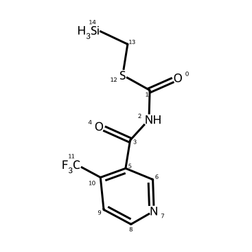 O=C(NC(=O)c1cnccc1C(F)(F)F)SC[SiH3]